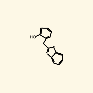 Oc1ccccc1Cc1nc2ccccc2s1